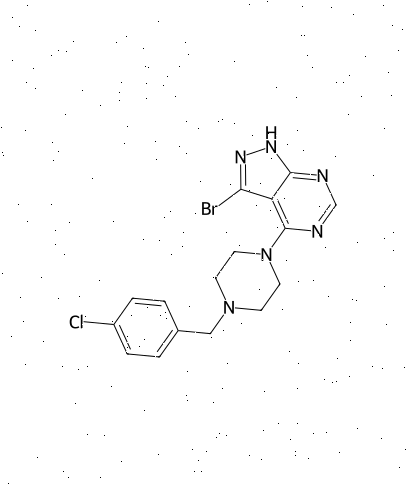 Clc1ccc(CN2CCN(c3ncnc4[nH]nc(Br)c34)CC2)cc1